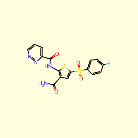 NC(=O)c1cc(S(=O)(=O)c2ccc(F)cc2)sc1NC(=O)c1cccnn1